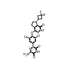 Nc1nn(-c2cc(Cl)c(Oc3n[nH]c(=O)c4c3CC[C@H]4C3CC(F)(F)C3)c(Cl)c2)c(=O)[nH]c1=O